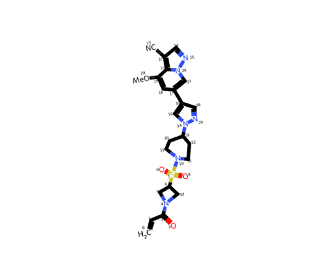 C=CC(=O)N1CC(S(=O)(=O)N2CCC(n3cc(-c4cc(OC)c5c(C#N)cnn5c4)cn3)CC2)C1